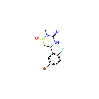 CN1C(=N)NC(c2cc(Br)ccc2F)C[S+]1[O-]